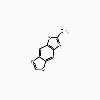 Cc1nc2cc3scnc3cc2s1